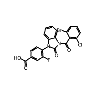 O=C(O)c1ccc(-n2c(=O)n(C(=O)c3c(Cl)cccc3Br)c3ccccc32)c(F)c1